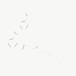 NC(=S)c1ccc(OC(=O)c2ccccc2OC(=O)CCC(=O)OCCCCO[N+](=O)[O-])cc1